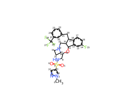 Cn1cc(S(=O)(=O)NCCOC2c3cc(F)ccc3C(Cc3cccc(C(F)(F)F)c3)C2CN2CCC2)cn1